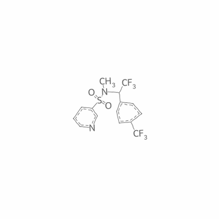 CN(C(c1ccc(C(F)(F)F)cc1)C(F)(F)F)S(=O)(=O)c1cccnc1